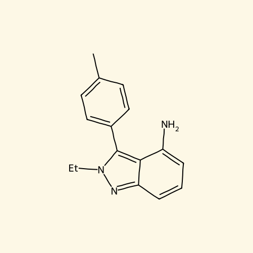 CCn1nc2cccc(N)c2c1-c1ccc(C)cc1